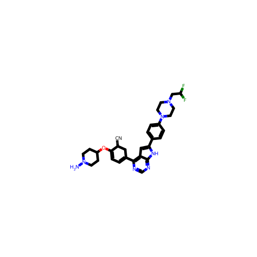 N#CC1CC(c2ncnc3[nH]c(-c4ccc(N5CCN(CC(F)F)CC5)cc4)cc23)=CC=C1OC1CCN(N)CC1